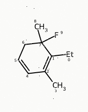 CCC1=C(C)C=CCC1(C)F